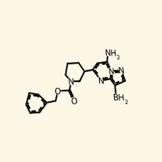 Bc1cnn2c(N)cc(C3CCCN(C(=O)OCc4ccccc4)C3)nc12